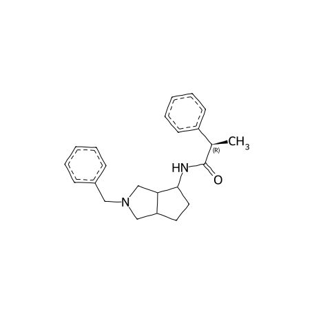 C[C@@H](C(=O)NC1CCC2CN(Cc3ccccc3)CC21)c1ccccc1